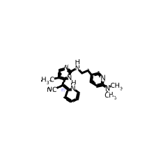 Cc1cnc(NCCc2ccc(N(C)C)nc2)nc1/C(C#N)=C1/C=CC=CN1